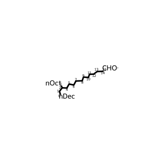 CCCCCCCCCCCC(CCCCCCCC)CCCCCCCCCCC[C]=O